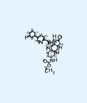 CCOC(=O)N[C@@H]1CC[C@@H]2[C@@H](C1)C[C@@H]1CC(=O)N[C@@H]1[C@H]2/C=C/c1ccc(-c2cccc(F)c2)cn1